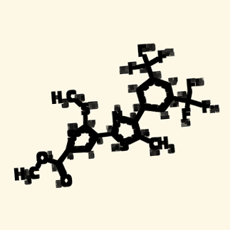 COC(=O)c1cc(-c2nc(-c3cc(C(F)(F)F)cc(C(F)(F)F)c3)c(C)s2)c(SC)s1